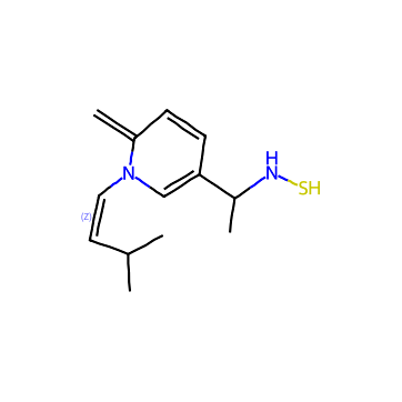 C=C1C=CC(C(C)NS)=CN1/C=C\C(C)C